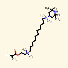 C=C(C)C(=O)OCC[N+](C)(C)CCCCCCCCCCCC[N+](C)(C)C1CC(C)(C)NC(C)(C)C1